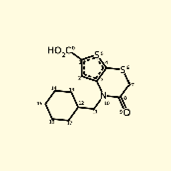 O=C(O)c1cc2c(s1)SCC(=O)N2CC1CCCCC1